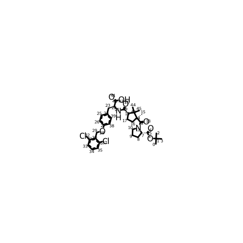 CC(C)(C)OC(=O)[C@@H]1CCCN1C(=O)[C@@]1(C)CC[C@@H](C(=O)N[C@@H](Cc2ccc(OCc3c(Cl)cccc3Cl)cc2)C(=O)O)C1(C)C